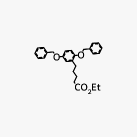 CCOC(=O)CCCCc1cc(OCc2ccccc2)ccc1OCc1ccccc1